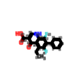 CCc1c(F)c(-c2ccccc2)c(F)c2[nH]cc(C(=O)O)c(=O)c12